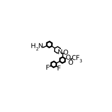 NCc1cccc(C2CCN(C(=O)c3cc(-c4ccc(F)cc4F)ccc3OC(=O)C(F)(F)F)CC2)c1